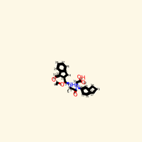 CCOC(N[C@@H](C)C(=O)N(CC(=O)O)c1ccc2c(c1)CCC2)C1Cc2ccccc2C1=C=O